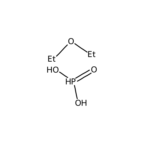 CCOCC.O=[PH](O)O